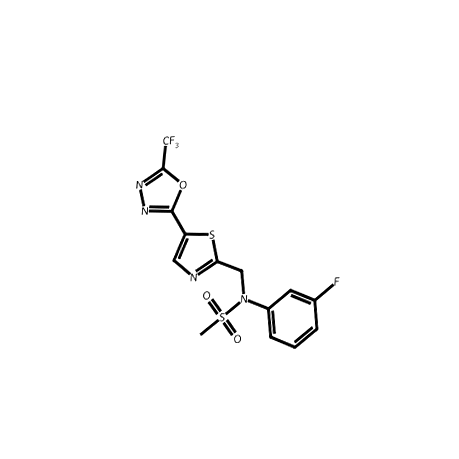 CS(=O)(=O)N(Cc1ncc(-c2nnc(C(F)(F)F)o2)s1)c1cccc(F)c1